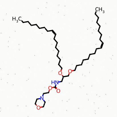 CCCCCCCC/C=C\CCCCCCCCOCC(CNC(=O)OCCN1CCOCC1)OCCCCCCCC/C=C\CCCCCCCC